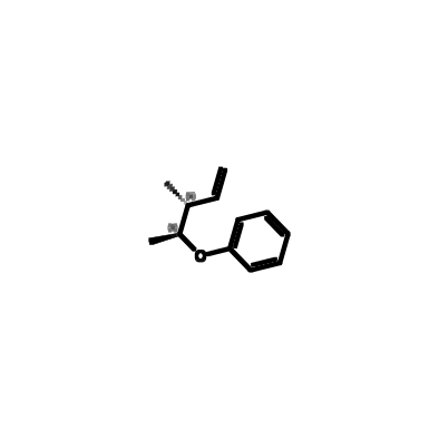 C=C[C@@H](C)[C@H](C)Oc1ccccc1